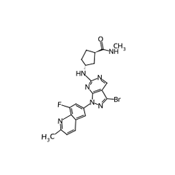 CNC(=O)[C@@H]1CC[C@@H](Nc2ncc3c(Br)nn(-c4cc(F)c5nc(C)ccc5c4)c3n2)C1